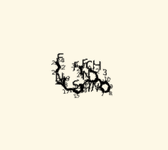 C[C@@H]1Cc2c([nH]c3ccccc23)[C@@H](c2ccc(CC3CN(CCCF)C3)s2)N1CC(F)F